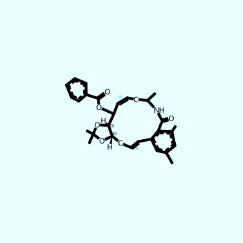 Cc1cc(C)c2c(c1)/C=C/C[C@@H]1OC(C)(C)O[C@@H]1C(OC(=O)c1ccccc1)/C=C\CC(C)NC2=O